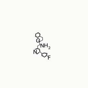 NC(Cc1cncc(-c2ccc(F)cc2)c1)C1CCc2ccccc2O1